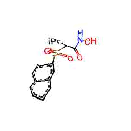 CC(C)C(C(=O)NO)S(=O)(=O)c1ccc2ccccc2c1